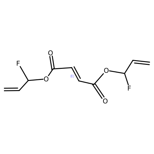 C=CC(F)OC(=O)/C=C/C(=O)OC(F)C=C